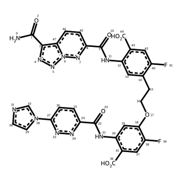 NC(=O)c1nnn2nc(C(=O)Nc3cc(CCOc4cc(NC(=O)c5ccc(-n6ccnc6)nn5)c(C(=O)O)cc4F)c(F)cc3C(=O)O)ccc12